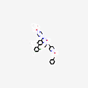 C[C@H]1CN(C(=O)OC(C)(C)C)CCN1c1nc(=O)n2c3c(c(-c4ccc(F)cc4F)c(C(F)(F)F)cc13)SC[C@@H]2CC1=CCN(C(=O)OCc2ccccc2)CC1